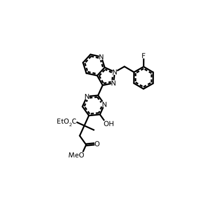 CCOC(=O)C(C)(CC(=O)OC)c1cnc(-c2nn(Cc3ccccc3F)c3ncccc23)nc1O